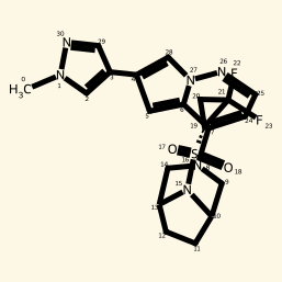 Cn1cc(-c2cc3c(N4CC5CCC(C4)N5S(=O)(=O)[C@@H]4CC4(F)F)ccnn3c2)cn1